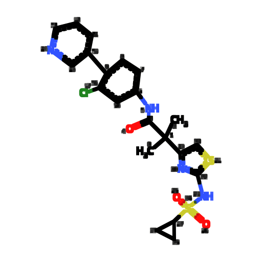 CC(C)(C(=O)Nc1ccc(-c2cccnc2)c(Cl)c1)c1csc(NS(=O)(=O)C2CC2)n1